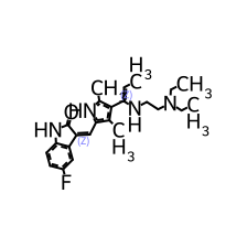 C/C=C(\NCCN(CC)CC)c1c(C)[nH]c(/C=C2\C(=O)Nc3ccc(F)cc32)c1C